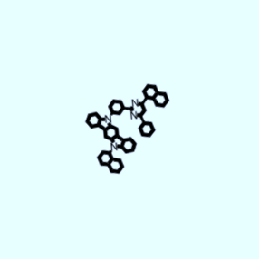 c1ccc(-c2cc(-c3cccc4ccccc34)nc(-c3cccc(-n4c5ccccc5c5cc6c(cc54)c4ccccc4n6-c4cccc5ccccc45)c3)n2)cc1